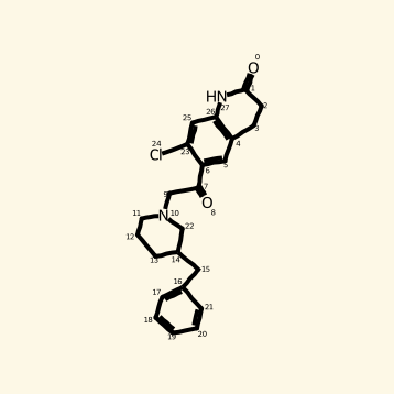 O=C1CCc2cc(C(=O)CN3CCCC(Cc4ccccc4)C3)c(Cl)cc2N1